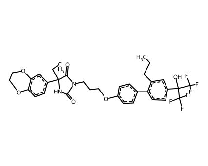 CCCc1cc(C(O)(C(F)(F)F)C(F)(F)F)ccc1-c1ccc(OCCCN2C(=O)NC(CC)(c3ccc4c(c3)OCCO4)C2=O)cc1